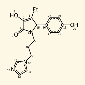 CCC1=C(O)C(=O)N(CCCn2ccnc2)C1c1ccc(O)cc1